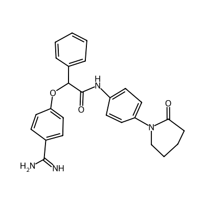 N=C(N)c1ccc(OC(C(=O)Nc2ccc(N3CCCCC3=O)cc2)c2ccccc2)cc1